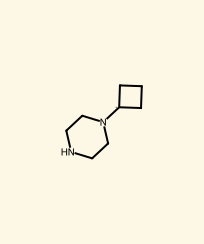 C1C[C](N2CCNCC2)C1